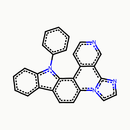 c1ccc(-n2c3ccccc3c3ccc4c(c5ccncc5c5nccn45)c32)cc1